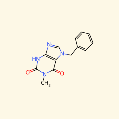 Cn1c(=O)[nH]c2ncn(Cc3ccccc3)c2c1=O